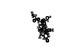 COCC(=O)O[C@]1(C(=O)COC(=O)CSC)CC[C@H]2[C@@H]3CC(C)C4=CC(=O)C=C[C@]4(C)[C@H]3C(O)C[C@@]21C